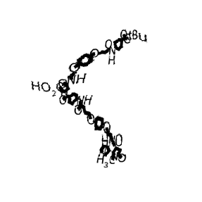 CN1C(=O)C[C@H](C(=O)NCCOC2CCC(OCCCC(=O)NC3CCC(C(=O)N(CC(=O)O)CC(=O)NCCOC4CCC(OCCCC(=O)NC5CCC(C(=O)OC(C)(C)C)CC5)CC4)CC3)CC2)[C@H]1c1cccnc1